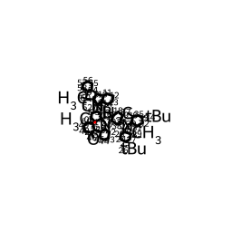 Cc1cc2c3c(c1)-n1c4c(c5cccc(c51)B3c1ccc(N(c3ccc(C(C)(C)C)cc3C)c3ccc(C(C)(C)C)cc3C)cc1N2c1cccc2oc3ccccc3c12)-c1ccccc1C4(C)C